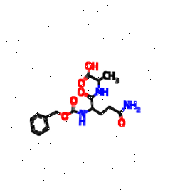 CC(NC(=O)C(CCC(N)=O)NC(=O)OCc1ccccc1)C(=O)O